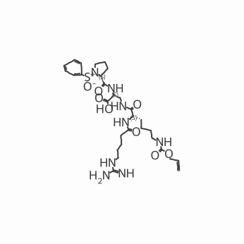 C=CCOC(=O)NCCCC[C@H](NC(=O)CCCCNC(=N)N)C(=O)NC[C@H](NC(=O)[C@@H]1CCCN1[S+]([O-])c1ccccc1)C(=O)O